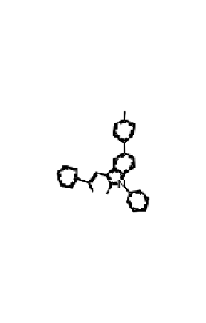 C/C(=C\c1c(C)n(-c2ccccc2)c2ccc(-c3ccc(C)cc3)cc12)c1ccccc1